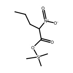 CCCC(C(=O)O[Si](C)(C)C)[N+](=O)[O-]